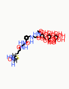 CC(=O)NC1C(O)[C@H](O[C@@H]2OC(CO)[C@H](O)C(O[C@H]3OC(CO)[C@H](O)C(O)C3O)C2O)C(CO)O[C@H]1OCCCNCc1cccc(C(=O)NCCNC(=O)CCCC[C@@H]2SC[C@@H]3NC(=O)N[C@@H]32)c1